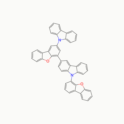 c1ccc2c(c1)oc1c(-c3ccc4c(c3)c3ccccc3n4-c3cccc4c3oc3ccccc34)cc(-n3c4ccccc4c4ccccc43)cc12